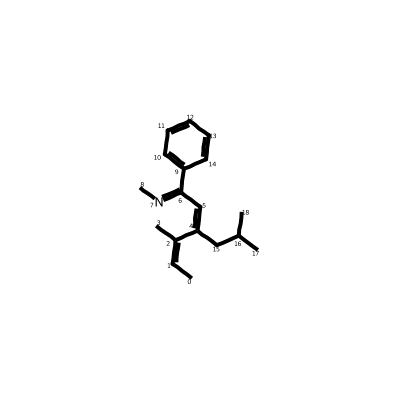 C\C=C(C)/C(=C\C(=N\C)c1ccccc1)CC(C)C